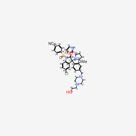 COc1cc(CN2CCN(CCO)CC2)ccc1C1(N2CCC[C@H]2c2ncco2)C(=O)N(S(=O)(=O)c2ccc(C#N)cc2)c2ccc(Cl)cc21